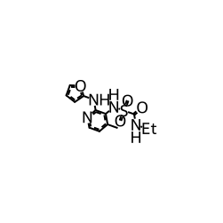 CCNC(=O)S(=O)(=O)Nc1c(C)ccnc1Nc1ccco1